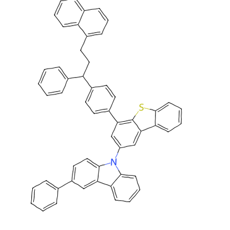 c1ccc(-c2ccc3c(c2)c2ccccc2n3-c2cc(-c3ccc(C(CCc4cccc5ccccc45)c4ccccc4)cc3)c3sc4ccccc4c3c2)cc1